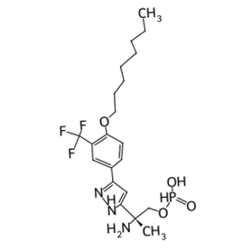 CCCCCCCCOc1ccc(-c2cc([C@@](C)(N)CO[PH](=O)O)[nH]n2)cc1C(F)(F)F